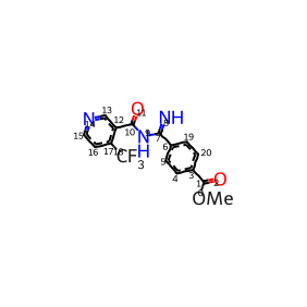 COC(=O)c1ccc(C(=N)NC(=O)c2cnccc2C(F)(F)F)cc1